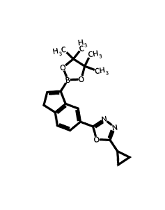 CC1(C)OB(C2=CCc3ccc(-c4nnc(C5CC5)o4)cc32)OC1(C)C